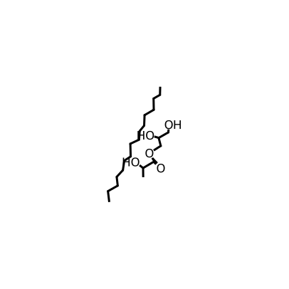 CC(O)C(=O)OCC(O)CO.CCCCCCCCCCCCCCCC